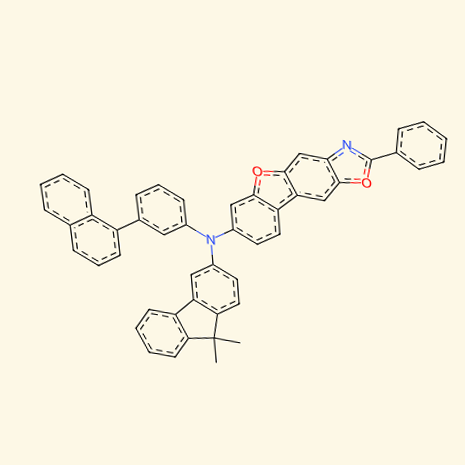 CC1(C)c2ccccc2-c2cc(N(c3cccc(-c4cccc5ccccc45)c3)c3ccc4c(c3)oc3cc5nc(-c6ccccc6)oc5cc34)ccc21